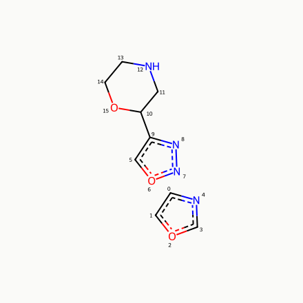 c1cocn1.c1onnc1C1CNCCO1